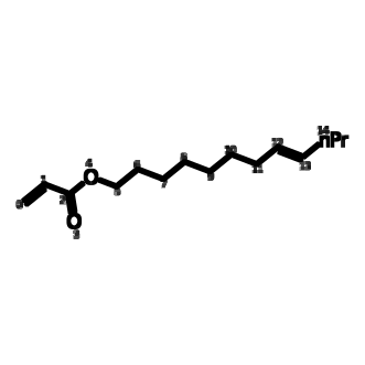 C=CC(=O)OCCCCCCC/C=C/CCC